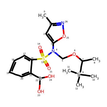 Cc1cc(N(COC(C)[Si](C)(C)C)S(=O)(=O)c2ccccc2B(O)O)on1